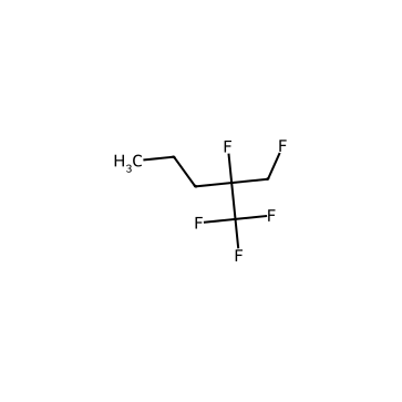 CCCC(F)(CF)C(F)(F)F